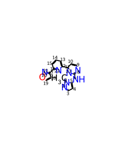 Cn1nccc1Nc1nccc(-c2cccc(-c3ccon3)n2)n1